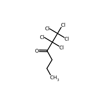 CCCC(=O)C(Cl)(Cl)C(Cl)(Cl)Cl